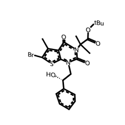 Cc1c(Br)sc2c1c(=O)n(C(C)(C)C(=O)OC(C)(C)C)c(=O)n2C[C@@H](O)c1ccccc1